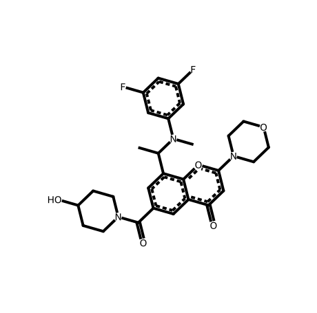 CC(c1cc(C(=O)N2CCC(O)CC2)cc2c(=O)cc(N3CCOCC3)oc12)N(C)c1cc(F)cc(F)c1